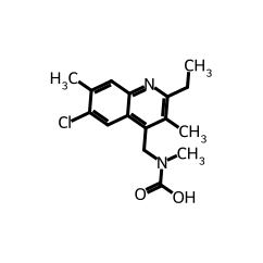 CCc1nc2cc(C)c(Cl)cc2c(CN(C)C(=O)O)c1C